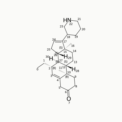 CC[C@H]1C=C2CC(=O)CC[C@]2(C)[C@H]2CC[C@]3(C)C(C4CCCNC4)=CC[C@H]3[C@H]12